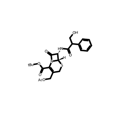 CC(=O)OCC1=C(C(=O)OC(C)(C)C)N2C(=O)[C@H](NC(=O)C(CO)c3ccccc3)[C@@H]2SC1